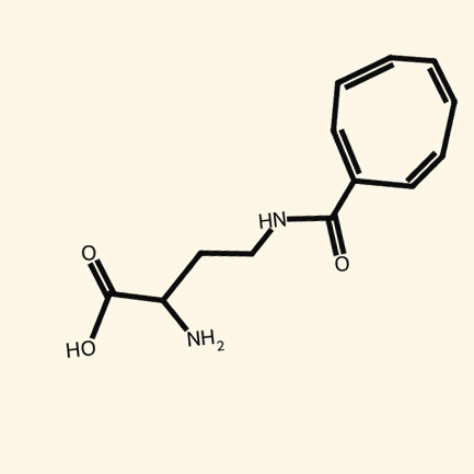 NC(CCNC(=O)C1=C/C=C\C=C/C=C\1)C(=O)O